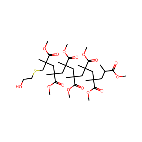 COC(=O)C(C)CC(C)(CC(C)(CC(C)(CC(C)(CC(C)(CC(C)(CSCCO)C(=O)OC)C(=O)OC)C(=O)OC)C(=O)OC)C(=O)OC)C(=O)OC